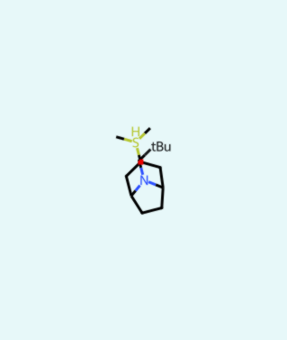 C[SH](C)C1CC2CCC(C1)N2CC(C)(C)C